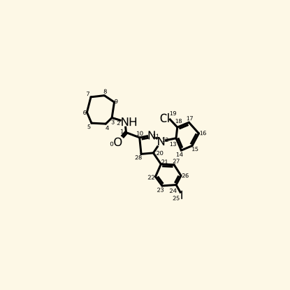 O=C(NC1CCCCCC1)C1=NN(c2ccccc2Cl)C(c2ccc(I)cc2)C1